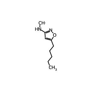 [CH]Nc1cc(CCCCC)on1